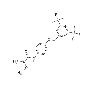 CON(C)C(=O)Nc1ccc(OCc2cc(C(F)(F)F)nc(C(F)(F)F)c2)cc1